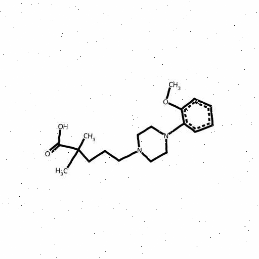 COc1ccccc1N1CCN(CCCC(C)(C)C(=O)O)CC1